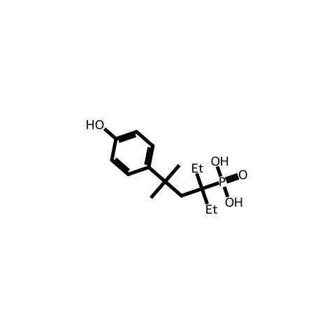 CCC(CC)(CC(C)(C)c1ccc(O)cc1)P(=O)(O)O